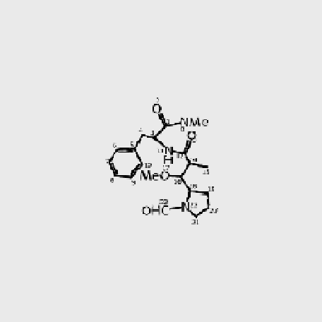 CNC(=O)C(Cc1ccccc1)NC(=O)C(C)C(OC)C1CCCN1C=O